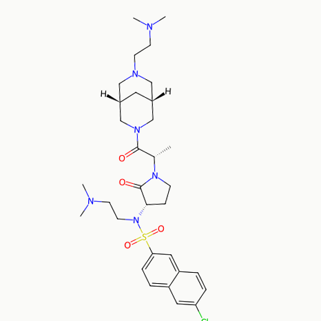 C[C@@H](C(=O)N1C[C@@H]2C[C@@H](CN(CCN(C)C)C2)C1)N1CC[C@H](N(CCN(C)C)S(=O)(=O)c2ccc3cc(Cl)ccc3c2)C1=O